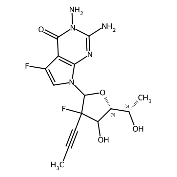 CC#CC1(F)C(O)[C@@H]([C@H](C)O)OC1n1cc(F)c2c(=O)n(N)c(N)nc21